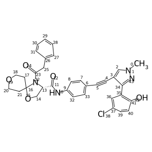 Cn1cc(C#Cc2ccc(NC(=O)[C@@H]3COC4(CCOCC4)N3C(=O)Cc3ccccc3)cc2)c(-c2cc(Cl)ccc2O)n1